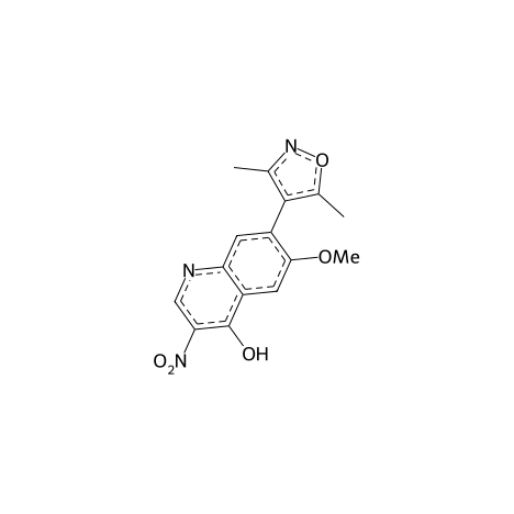 COc1cc2c(O)c([N+](=O)[O-])cnc2cc1-c1c(C)noc1C